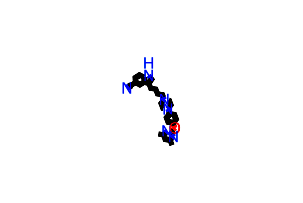 Cc1cc(C)nc(Oc2ccc(N3CCN(CCCCc4c[nH]c5ccc(C#N)cc45)CC3)cc2)n1